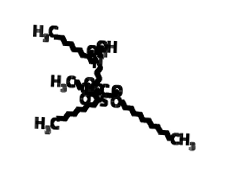 CCCCCCCCCCCCCOC(=O)C(C)SC(CCCCCCCCC)C(OC(=O)CCCN(CCO)CC(O)CCCCCCCC)C(=O)OCCC